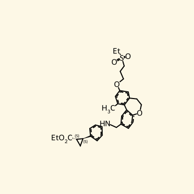 CCOC(=O)[C@H]1C[C@@H]1c1ccc(NCc2ccc3c(c2)-c2c(C)cc(OCCCS(=O)(=O)CC)cc2CCO3)cc1